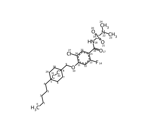 CCCCCC12CCC(COc3cc(F)c(C(=O)NS(=O)(=O)N(C)C)cc3Cl)(CC1)CC2